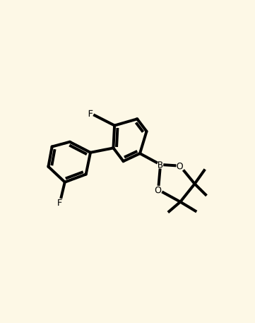 CC1(C)OB(c2ccc(F)c(-c3cccc(F)c3)c2)OC1(C)C